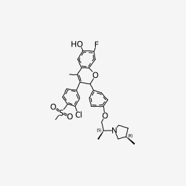 CC1=C(c2ccc(S(C)(=O)=O)c(Cl)c2)C(c2ccc(OC[C@H](C)N3CC[C@@H](C)C3)cc2)Oc2cc(F)c(O)cc21